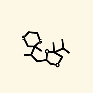 CC(C)C1(C)COCC(CC(C)C2(C)CSCCS2)O1